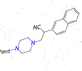 CCCCCN1CCN(CC(C#N)c2ccc3ccccc3c2)CC1